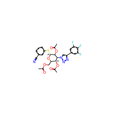 CC(=O)OCC1O[C@H](Sc2cccc(C#N)c2)C(OC(C)=O)C(n2cc(-c3cc(F)c(F)c(F)c3)nn2)[C@H]1OC(C)=O